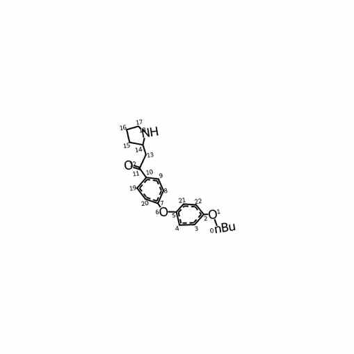 CCCCOc1ccc(Oc2ccc(C(=O)CC3CCCN3)cc2)cc1